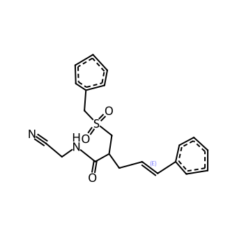 N#CCNC(=O)C(C/C=C/c1ccccc1)CS(=O)(=O)Cc1ccccc1